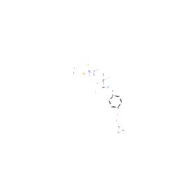 CC(C)CS(=O)(=O)N1CCC2(CCN(c3ccc(OCC4CC4)cc3)C2=O)CC1